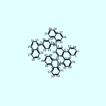 c1ccc(-c2cc(N(c3ccc(-c4cccc5ccccc45)cc3)c3cccc4ccccc34)ccc2-c2ccccc2N2Cc3ccccc3-c3ccccc32)cc1